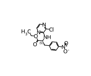 CCOC(=O)[C@H](Cc1ccc([N+](=O)[O-])cc1)Nc1nccnc1Cl